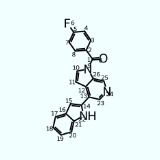 O=C(c1ccc(F)cc1)n1ccc2c(-c3cc4ccccc4[nH]3)cncc21